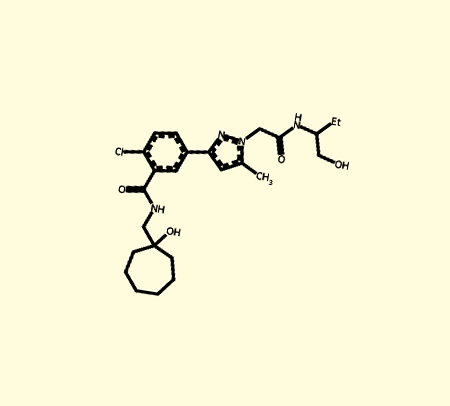 CCC(CO)NC(=O)Cn1nc(-c2ccc(Cl)c(C(=O)NCC3(O)CCCCCC3)c2)cc1C